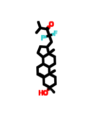 CC(C)C(=O)C(F)(F)CC1CCC2C3CC=C4C[C@@](C)(O)CCC4(C)C3CCC12C